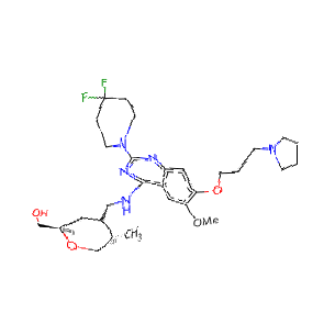 COc1cc2c(NCC3C[C@H](CO)OC[C@H]3C)nc(N3CCC(F)(F)CC3)nc2cc1OCCCN1CCCC1